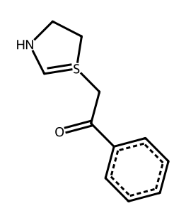 O=C(CS1=CNCC1)c1ccccc1